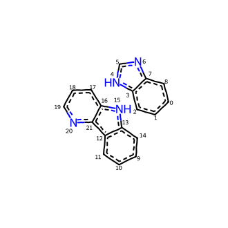 c1ccc2[nH]cnc2c1.c1ccc2c(c1)[nH]c1cccnc12